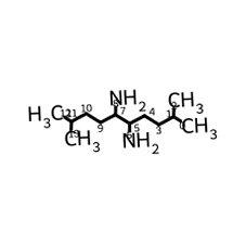 CC(C)CCC(N)C(N)CCC(C)C